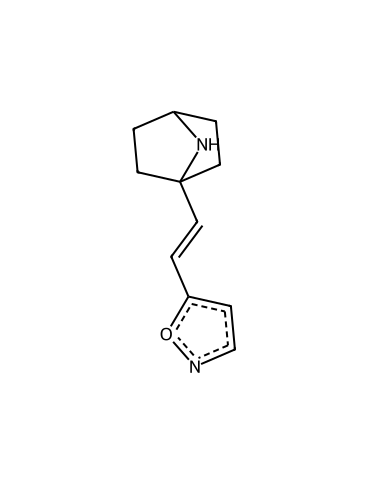 C(=CC12CCC(CC1)N2)c1ccno1